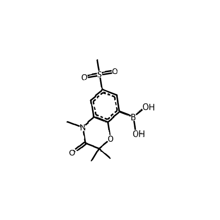 CN1C(=O)C(C)(C)Oc2c(B(O)O)cc(S(C)(=O)=O)cc21